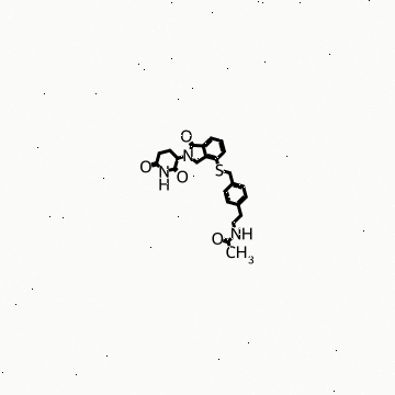 CC(=O)NCCc1ccc(CSc2cccc3c2CN(C2CCC(=O)NC2=O)C3=O)cc1